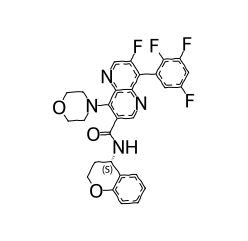 O=C(N[C@H]1CCOc2ccccc21)c1cnc2c(-c3cc(F)cc(F)c3F)c(F)cnc2c1N1CCOCC1